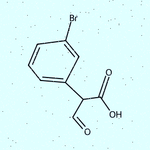 O=[C]C(C(=O)O)c1cccc(Br)c1